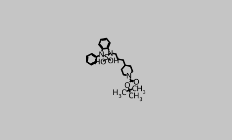 CC(C)(C)OC(=O)N1CCC(CCCN2c3ccccc3N(c3ccccc3)S2(O)O)CC1